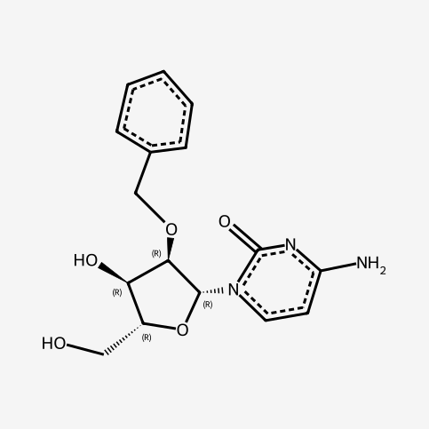 Nc1ccn([C@@H]2O[C@H](CO)[C@@H](O)[C@H]2OCc2ccccc2)c(=O)n1